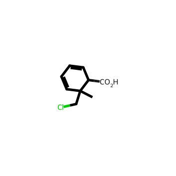 CC1(CCl)C=CC=CC1C(=O)O